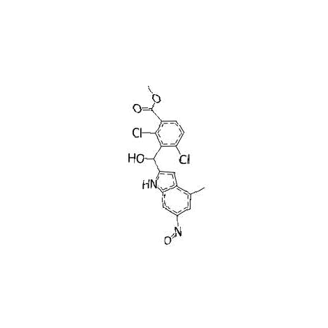 COC(=O)c1ccc(Cl)c(C(O)c2cc3c(C)cc(N=O)cc3[nH]2)c1Cl